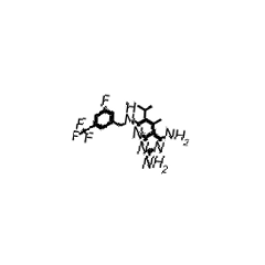 Cc1c(C(C)C)c(NCc2cc(F)cc(C(F)(F)F)c2)nc2nc(N)nc(N)c12